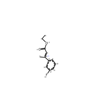 CCOC(=O)/C=C(\C)c1cccc(F)c1